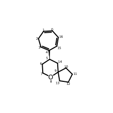 C1=CCC=C([C@@H]2CCOC3(CCCC3)C2)C=C1